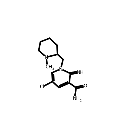 CN1CCCCC1Cn1cc(Cl)cc(C(N)=O)c1=N